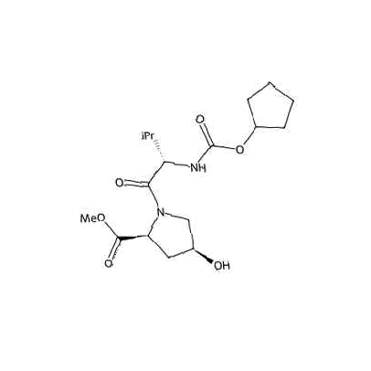 COC(=O)[C@@H]1C[C@H](O)CN1C(=O)[C@@H](NC(=O)OC1CCCC1)C(C)C